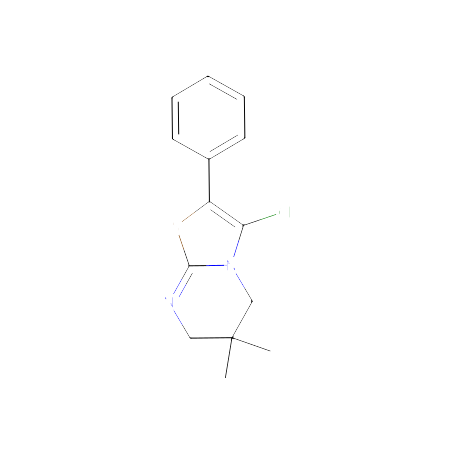 CC1(C)CN=C2SC(c3ccccc3)=C(Cl)N2C1